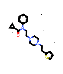 O=C(C1CC1)N(CCN1CCN(CCc2cccs2)CC1)c1ccccc1